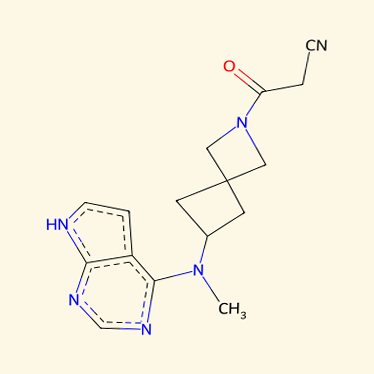 CN(c1ncnc2[nH]ccc12)C1CC2(C1)CN(C(=O)CC#N)C2